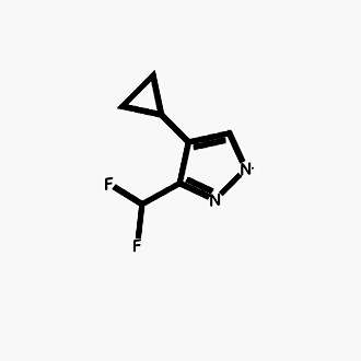 FC(F)C1=N[N]C=C1C1CC1